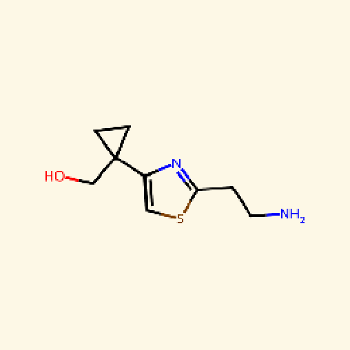 NCCc1nc(C2(CO)CC2)cs1